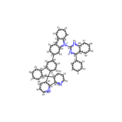 c1ccc(-c2nc(-n3c4ccccc4c4ccc(-c5ccc6c(c5)-c5ccccc5C65c6cccnc6-c6ncccc65)cc43)nc3ccccc23)cc1